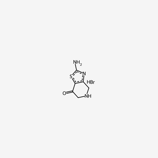 Br.Nc1nc2c(s1)C(=O)CNC2